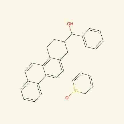 OC(c1ccccc1)C1CCc2c(ccc3c2ccc2ccccc23)C1.[O-][S+]1C=CC=CC1